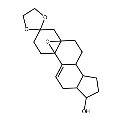 OC1CCC2C3CCC45CC6(CCC4(O5)C3=CCC12)OCCO6